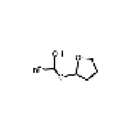 CCCC(O)OC1CCCO1